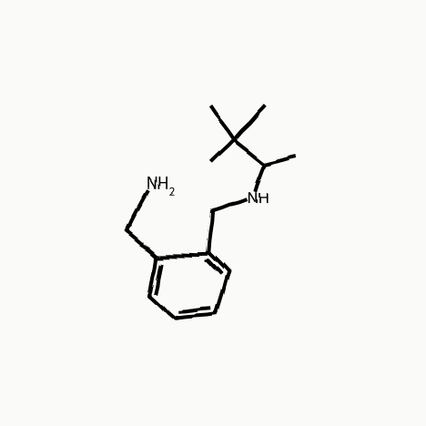 CC(NCc1ccccc1CN)C(C)(C)C